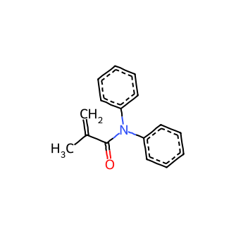 C=C(C)C(=O)N(c1ccccc1)c1ccccc1